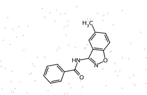 Cc1ccc2onc(NC(=O)c3ccccc3)c2c1